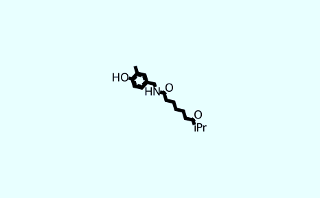 Cc1cc(CNC(=O)CCCCCC(=O)C(C)C)ccc1O